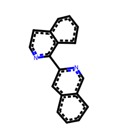 c1ccc2cc(-c3nccc4ccccc34)ncc2c1